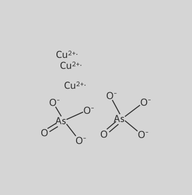 O=[As]([O-])([O-])[O-].O=[As]([O-])([O-])[O-].[Cu+2].[Cu+2].[Cu+2]